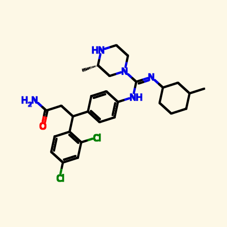 CC1CCCC(/N=C(\Nc2ccc(C(CC(N)=O)c3ccc(Cl)cc3Cl)cc2)N2CCN[C@@H](C)C2)C1